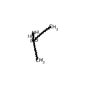 CCCCCCCCC=CCCCCCCCC(=O)N(CCNCCN)C(=O)CCCCCCCC=CCCCCCCCC